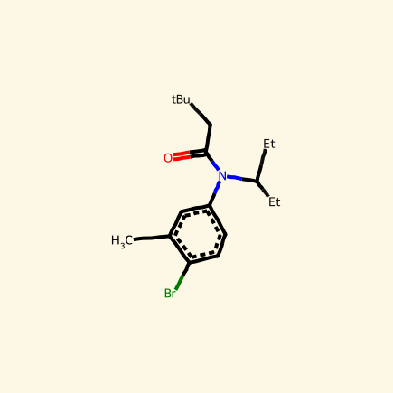 CCC(CC)N(C(=O)CC(C)(C)C)c1ccc(Br)c(C)c1